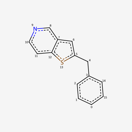 c1ccc(Cc2cc3cnccc3s2)cc1